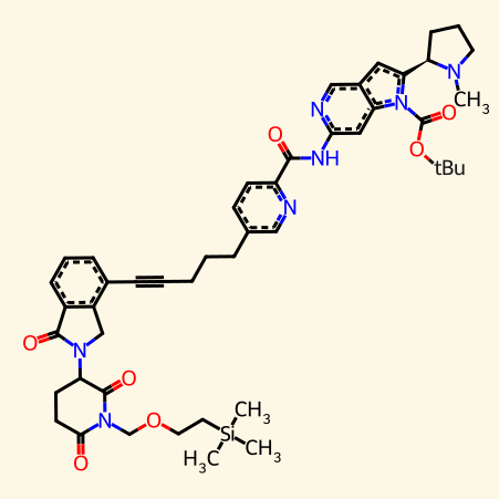 CN1CCC[C@@H]1c1cc2cnc(NC(=O)c3ccc(CCCC#Cc4cccc5c4CN(C4CCC(=O)N(COCC[Si](C)(C)C)C4=O)C5=O)cn3)cc2n1C(=O)OC(C)(C)C